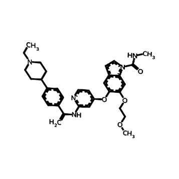 C=C(Nc1cc(Oc2cc3ccn(C(=O)NC)c3cc2OCCOC)ccn1)c1ccc(C2CCN(CC)CC2)cc1